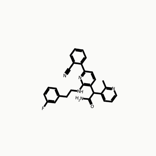 Cc1ncccc1C(C(N)=O)c1ccc(-c2ccccc2C#N)nc1NCCc1cccc(F)c1